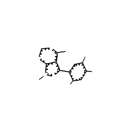 Cn1nc(-c2cc(Cl)c(O)cc2O)c2c(N)ncnc21